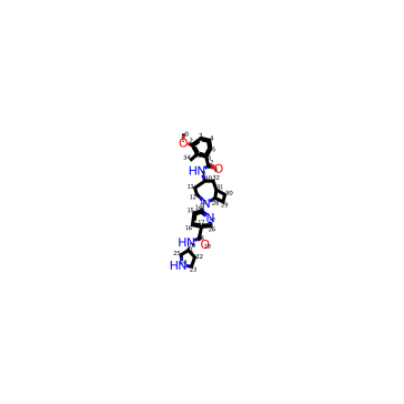 COc1cccc(C(=O)NC2CCN(c3ccc(C(=O)N[C@@H]4CCNC4)cn3)C3CCC3C2)c1C